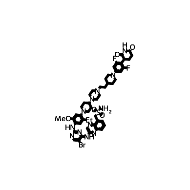 CCc1cc(Nc2ncc(Br)c(Nc3cnc4c(CS(N)(=O)=O)cccc4n3)n2)c(OC)cc1N1CCC(N2CCN(CCC3CCN(c4cc(F)c(C5CCC(=O)NC5=O)c(F)c4)CC3)CC2)CC1